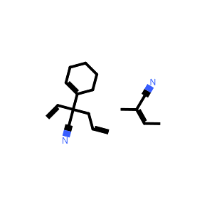 C/C=C(/C)C#N.C=CCC(C#N)(C=C)C1=CCCCC1